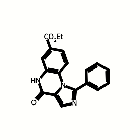 CCOC(=O)c1ccc2c(c1)[nH]c(=O)c1cnc(-c3ccccc3)n12